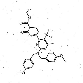 CCOC(=O)C1CCC(c2nc(N(Cc3ccc(OC)cc3)Cc3ccc(OC)cc3)cc(C)c2C(F)(F)F)=CC1=O